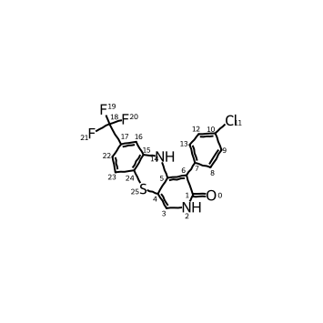 O=c1[nH]cc2c(c1-c1ccc(Cl)cc1)Nc1cc(C(F)(F)F)ccc1S2